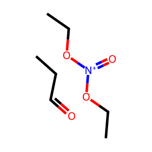 CCC=O.CCO[N+](=O)OCC